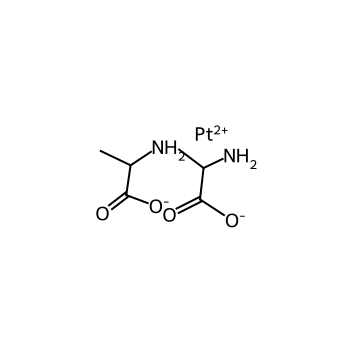 CC(N)C(=O)[O-].CC(N)C(=O)[O-].[Pt+2]